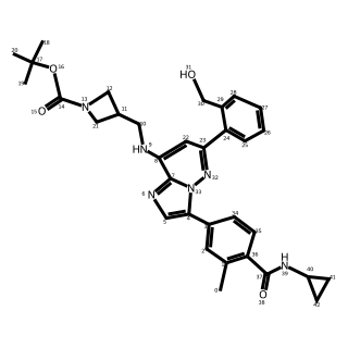 Cc1cc(-c2cnc3c(NCC4CN(C(=O)OC(C)(C)C)C4)cc(-c4ccccc4CO)nn23)ccc1C(=O)NC1CC1